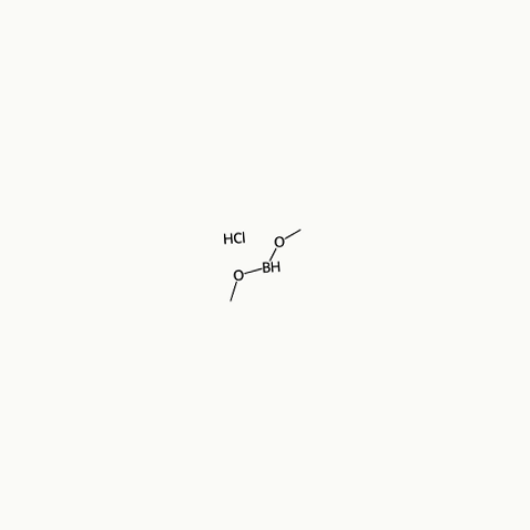 COBOC.Cl